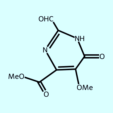 COC(=O)c1nc(C=O)[nH]c(=O)c1OC